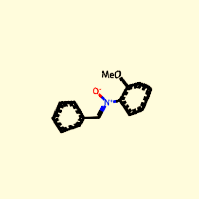 COc1ccccc1[N+]([O-])=Cc1ccccc1